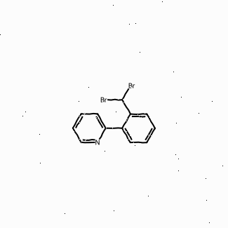 BrC(Br)c1ccccc1-c1ccccn1